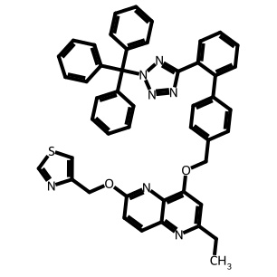 CCc1cc(OCc2ccc(-c3ccccc3-c3nnn(C(c4ccccc4)(c4ccccc4)c4ccccc4)n3)cc2)c2nc(OCc3cscn3)ccc2n1